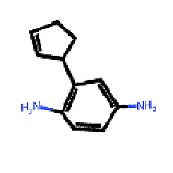 Nc1ccc(N)c(C2C=CCC2)c1